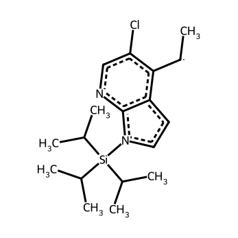 C[CH]c1c(Cl)cnc2c1ccn2[Si](C(C)C)(C(C)C)C(C)C